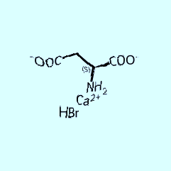 Br.N[C@@H](CC(=O)[O-])C(=O)[O-].[Ca+2]